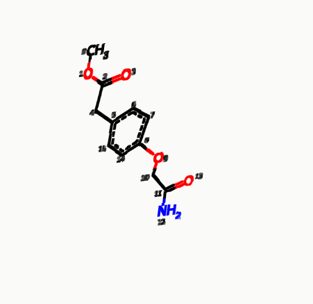 COC(=O)Cc1ccc(OCC(N)=O)cc1